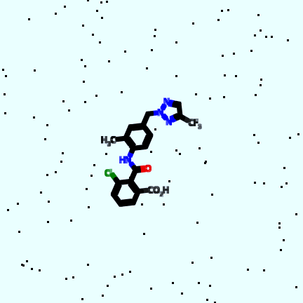 Cc1cc(Cn2ncc(C(F)(F)F)n2)ccc1NC(=O)c1c(Cl)cccc1C(=O)O